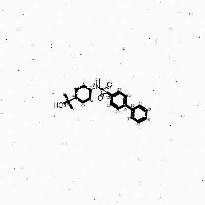 CC(C)(O)[C@H]1CC[C@H](NS(=O)(=O)c2ccc(-c3ccccc3)cc2)CC1